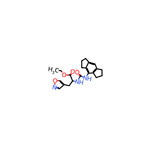 CCOC(=O)C(Cc1cnoc1)NC(=O)Nc1c2c(cc3c1CCC3)CCC2